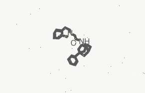 O=C(CN1CCc2ccccc2C1)NC12CC3CC1CC(c1ccccc1)(C3)C2